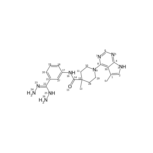 Cc1c[nH]c2ncnc(N3CCC(C)(C(=O)Nc4cccc(/C(=N/N)NN)c4)CC3)c12